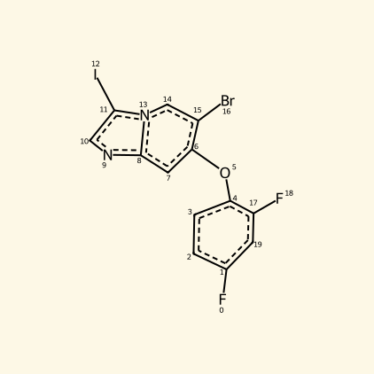 Fc1ccc(Oc2cc3ncc(I)n3cc2Br)c(F)c1